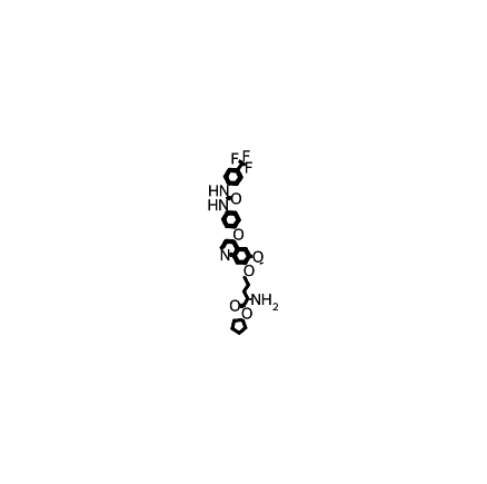 COc1cc2c(Oc3ccc(NC(=O)Nc4ccc(C(F)(F)F)cc4)cc3)ccnc2cc1OCCC[C@@H](N)C(=O)OC1CCCC1